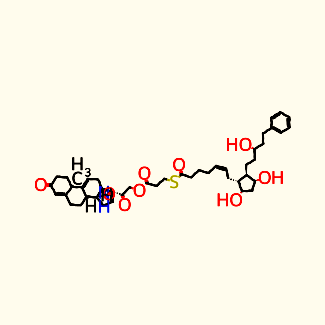 CC12CCC(=O)C=C1CC[C@@H]1C2=CCC23NCO[C@]2(C(=O)COC(=O)CCSC(=O)CCC/C=C\C[C@@H]2[C@@H](CC[C@@H](O)CCc4ccccc4)[C@H](O)C[C@@H]2O)CC[C@@H]13